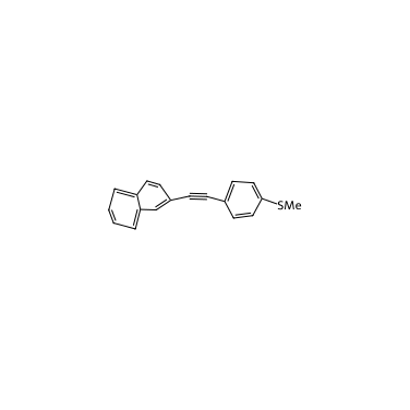 CSc1ccc(C#Cc2ccc3ccccc3c2)cc1